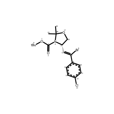 CC(C)(C)OC(=O)N1[C@@H](C=C(Br)c2ccc(Cl)cc2)COC1(C)C